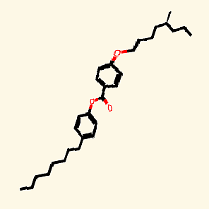 CCCCCCCCc1ccc(OC(=O)c2ccc(OCCCC[C@@H](C)CCC)cc2)cc1